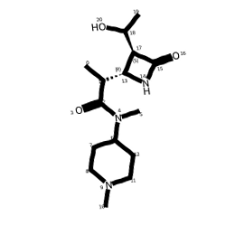 CC(C(=O)N(C)C1CCN(C)CC1)[C@H]1NC(=O)[C@@H]1C(C)O